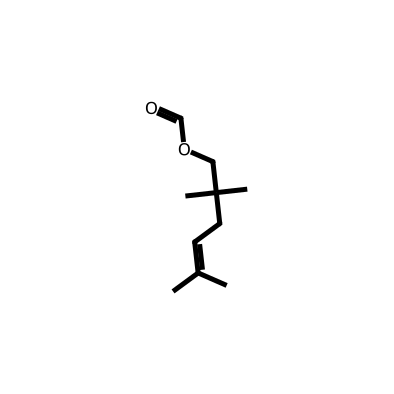 CC(C)=CCC(C)(C)COC=O